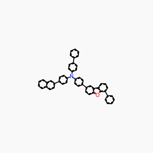 c1ccc(-c2ccc(N(c3ccc(-c4ccc5ccccc5c4)cc3)c3ccc(-c4ccc5oc6c(-c7ccccc7)cccc6c5c4)cc3)cc2)cc1